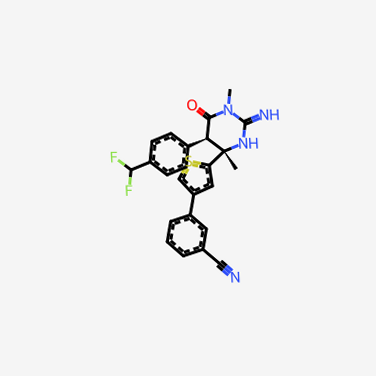 CN1C(=N)N[C@](C)(c2cc(-c3cccc(C#N)c3)cs2)[C@@H](c2ccc(C(F)F)cc2)C1=O